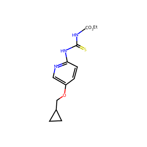 CCOC(=O)NC(=S)Nc1ccc(OCC2CC2)cn1